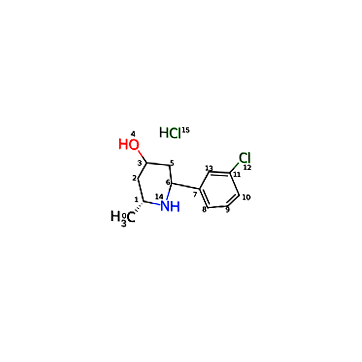 C[C@@H]1CC(O)CC(c2cccc(Cl)c2)N1.Cl